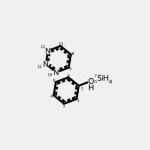 Oc1ccccc1.[SiH4].c1cnnnc1